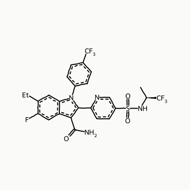 CCc1cc2c(cc1F)c(C(N)=O)c(-c1ccc(S(=O)(=O)N[C@@H](C)C(F)(F)F)cn1)n2-c1ccc(C(F)(F)F)cc1